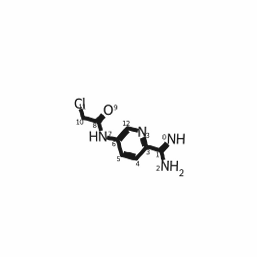 N=C(N)c1ccc(NC(=O)CCl)cn1